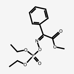 CCOP(=O)(OCC)O/N=C(\C(=O)OC)c1ccccc1